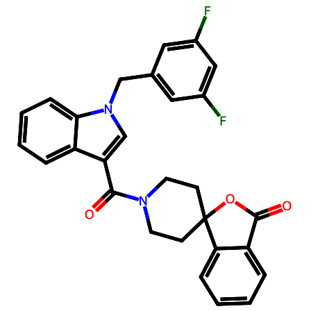 O=C1OC2(CCN(C(=O)c3cn(Cc4cc(F)cc(F)c4)c4ccccc34)CC2)c2ccccc21